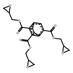 O=C(OCC1CO1)c1cc2ccc1C(C(=O)OCC1CO1)C2C(=O)OCC1CO1